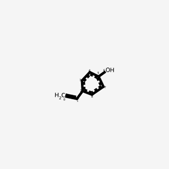 C=[C]c1ccc(O)cc1